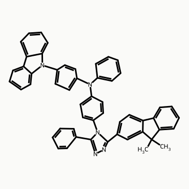 CC1(C)c2ccccc2-c2ccc(-c3nnc(-c4ccccc4)n3-c3ccc(N(c4ccccc4)c4ccc(-n5c6ccccc6c6ccccc65)cc4)cc3)cc21